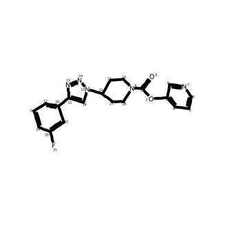 O=C(Oc1cccnc1)N1CCC(n2cc(-c3cccc(F)c3)nn2)CC1